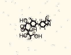 Cc1cc(-c2ccc3ncn(C)c3c2)ccc1[C@@H](O)[C@H]1OOC1[C@@H](O)[C@H](O)C(C)CO